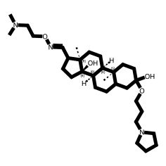 CN(C)CCON=CC1CC[C@@]2(O)[C@@H]3CCC4CC(O)(OCCCN5CCCC5)CC[C@]4(C)[C@@H]3CC[C@]12C